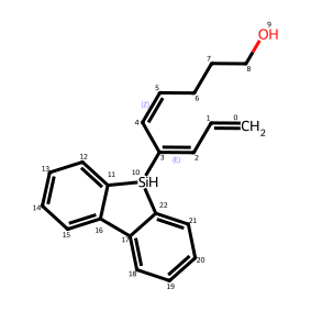 C=C/C=C(\C=C/CCCO)[SiH]1c2ccccc2-c2ccccc21